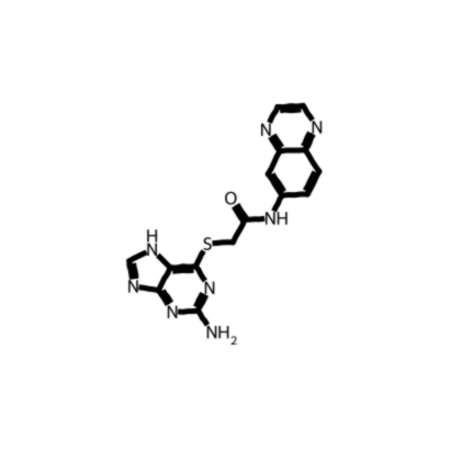 Nc1nc(SCC(=O)Nc2ccc3nccnc3c2)c2[nH]cnc2n1